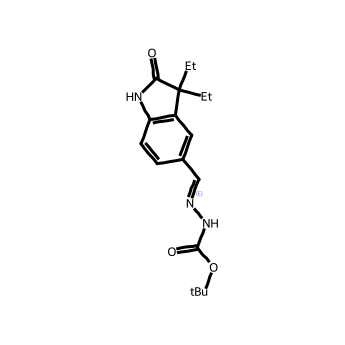 CCC1(CC)C(=O)Nc2ccc(/C=N/NC(=O)OC(C)(C)C)cc21